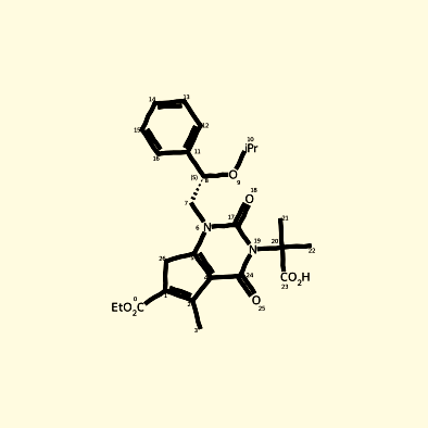 CCOC(=O)C1=C(C)c2c(n(C[C@@H](OC(C)C)c3ccccc3)c(=O)n(C(C)(C)C(=O)O)c2=O)C1